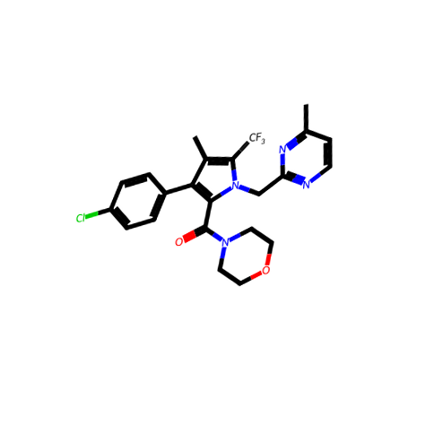 Cc1ccnc(Cn2c(C(=O)N3CCOCC3)c(-c3ccc(Cl)cc3)c(C)c2C(F)(F)F)n1